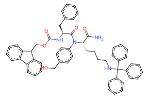 NC(=O)[C@H](CCCCNC(c1ccccc1)(c1ccccc1)c1ccccc1)N(C(=O)[C@H](Cc1ccccc1)NC(=O)OCC1c2ccccc2-c2ccccc21)c1ccc(CO)cc1